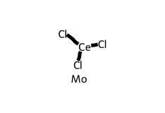 [Cl][Ce]([Cl])[Cl].[Mo]